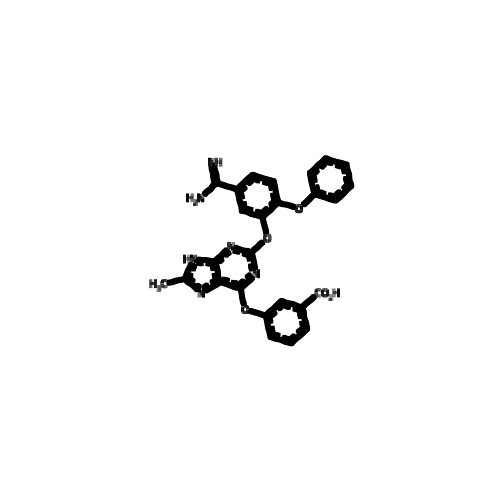 Cc1nc2c(Oc3cccc(C(=O)O)c3)nc(Oc3cc(C(=N)N)ccc3Oc3ccccc3)nc2[nH]1